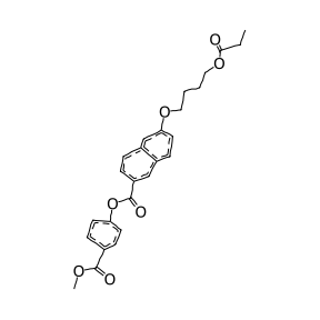 CCC(=O)OCCCCOc1ccc2cc(C(=O)Oc3ccc(C(=O)OC)cc3)ccc2c1